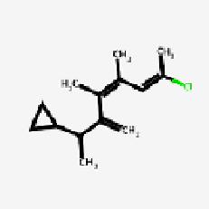 C=C(/C(C)=C(C)\C=C(/C)Cl)C(C)C1CC1